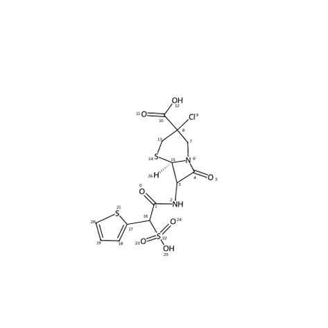 O=C(NC1C(=O)N2CC(Cl)(C(=O)O)CS[C@H]12)C(c1cccs1)S(=O)(=O)O